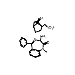 CC1(C)C2CCC1(CS(=O)(=O)O)C(=O)C2.CN1C(=O)C(N)N=C(c2ccccc2)c2ccccc21